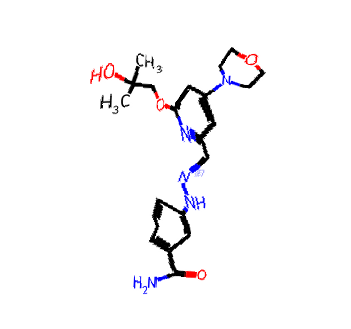 CC(C)(O)COc1cc(N2CCOCC2)cc(/C=N/Nc2cccc(C(N)=O)c2)n1